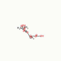 CCC(CCCCCOc1ccc(C(=O)OC2=C(OC)CC(C=CC(=O)O)(CC)C=C2)cc1)OC(=O)CCCCCOC(=O)CCCCCO